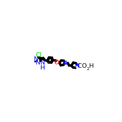 O=C(O)N1CCC(CCN2CCC(OCc3ccc(-c4cc5c(Cl)ncnc5[nH]4)cc3)CC2)CC1